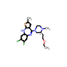 CCOCC[C@H]1CN(C2=Nc3cc(F)c(F)cc3Nc3sc(C)cc32)CCN1C